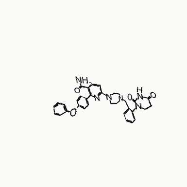 NC(=O)c1ccc(N2CCN(Cc3ccccc3N3CCC(=O)NC3=O)CC2)nc1-c1ccc(Oc2ccccc2)cc1